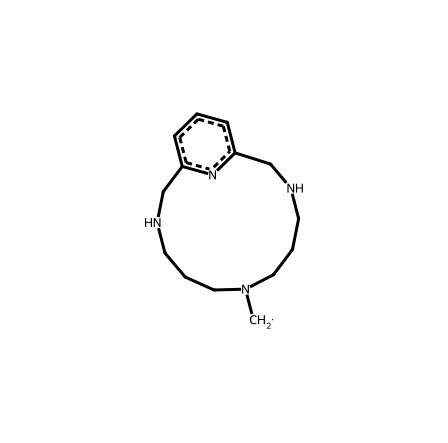 [CH2]N1CCCNCc2cccc(n2)CNCCC1